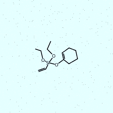 C=C[Si](OCC)(OCC)OC1=CCCCC1